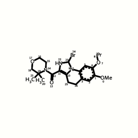 COc1cc2c(cc1OC(C)C)N1C(=C(C(=O)N3CCOCC3(C)C)NC1Br)CC2